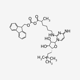 C=P(C)(C)CC[C@H]1OC(n2ccc(=N)nc2NCCCCC(C)C(=O)OC(=O)OCC2c3ccccc3-c3ccccc32)[C@H](O)[C@@H]1O